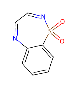 O=S1(=O)N=CC=Nc2ccccc21